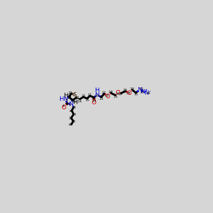 CCCCCCN1C(=O)N[C@H]2CS[C@@H](CCCCC(=O)NCCOCCOCCOCCN=[N+]=[N-])[C@H]21